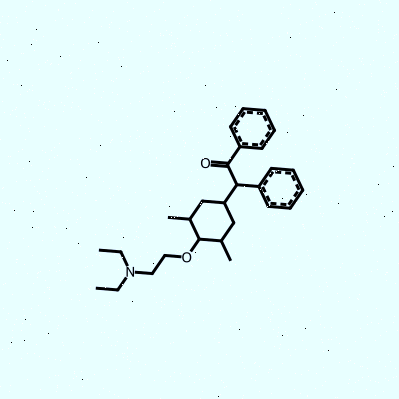 CCN(CC)CCOC1C(C)CC(C(C(=O)c2ccccc2)c2ccccc2)CC1C